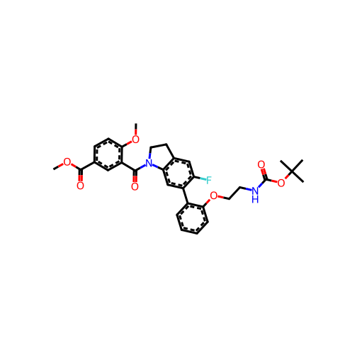 COC(=O)c1ccc(OC)c(C(=O)N2CCc3cc(F)c(-c4ccccc4OCCNC(=O)OC(C)(C)C)cc32)c1